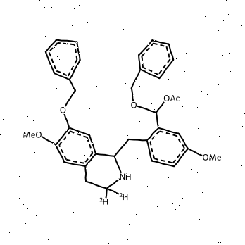 [2H]C1([2H])Cc2cc(OC)c(OCc3ccccc3)cc2C(Cc2ccc(OC)cc2C(OCc2ccccc2)OC(C)=O)N1